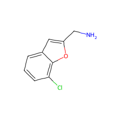 NCc1cc2cccc(Cl)c2o1